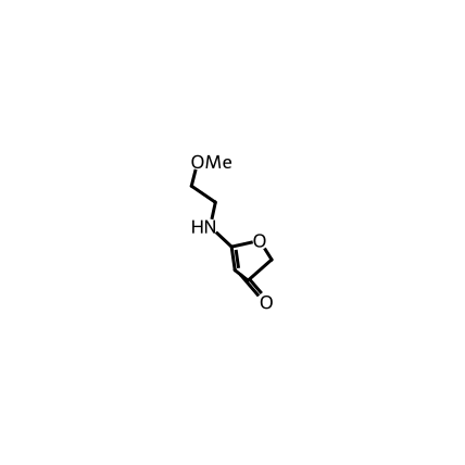 COCCNC1=CC(=O)CO1